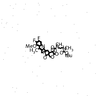 CC[C@@]1(OC(=O)N(C)CCN(C)C(=O)OC(C)(C)C)C(=O)OCc2c1cc1n(c2=O)Cc2c-1nc1cc(F)c(F)c(OC)c1c2C